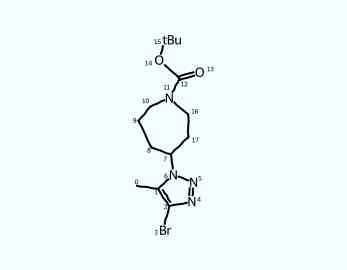 Cc1c(Br)nnn1C1CCCN(C(=O)OC(C)(C)C)CC1